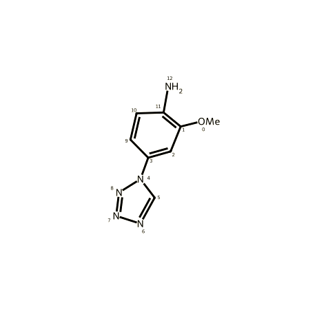 COc1cc(-n2cnnn2)ccc1N